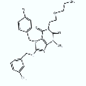 CCCOCCn1c(=O)c2c(nc(OCc3cccc(C)c3)n2Cc2ccc(Cl)cc2)n(C)c1=O